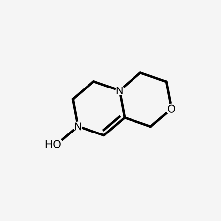 ON1C=C2COCCN2CC1